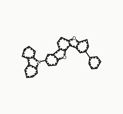 c1ccc(-c2ccc3oc4ccc5c6cc(-n7c8ccccc8c8ccccc87)ccc6oc5c4c3c2)cc1